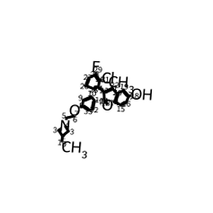 CCC1CN(CCOc2ccc([C@H]3Oc4ccc(O)cc4C(C)=C3c3cccc(F)c3Cl)cc2)C1